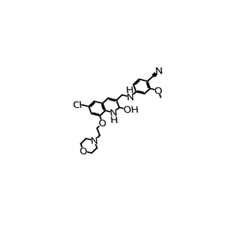 COc1cc(NCC2=Cc3cc(Cl)cc(OCCN4CCOCC4)c3NC2O)ccc1C#N